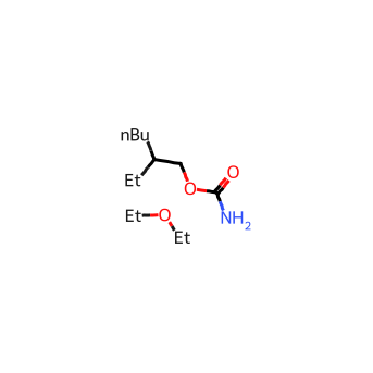 CCCCC(CC)COC(N)=O.CCOCC